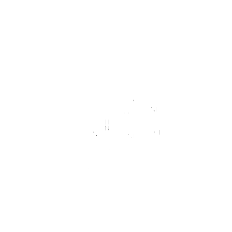 CC(NC(=O)Cc1cccc(F)c1)C(=O)Nc1cc(-c2ccccc2)n[nH]1